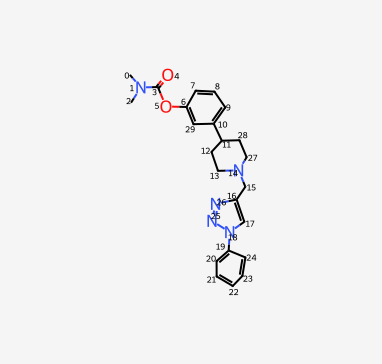 CN(C)C(=O)Oc1cccc(C2CCN(Cc3cn(-c4ccccc4)nn3)CC2)c1